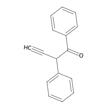 C#CC(C(=O)c1ccccc1)c1ccccc1